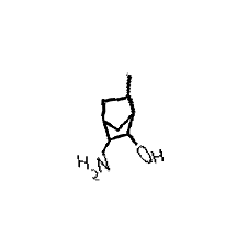 CC1CC2CC1C(O)C2N